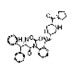 COC(=O)N(C(=O)[C@@H](N)C(c1ccccc1)c1ccccc1)c1ccccc1CC[C@@H]1CN[C@H](C(=O)N2CCCC2)CO1